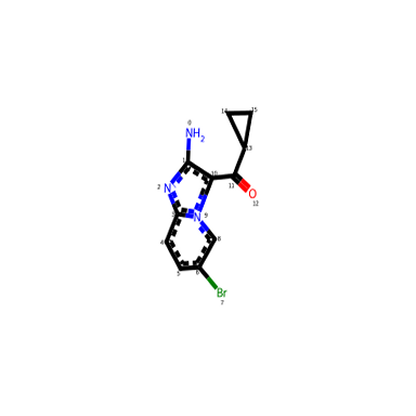 Nc1nc2ccc(Br)cn2c1C(=O)C1CC1